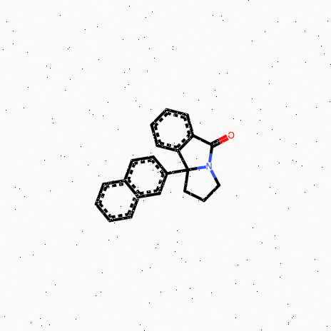 O=C1c2ccccc2C2(c3ccc4ccccc4c3)CCCN12